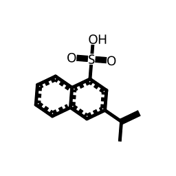 C=C(C)c1cc(S(=O)(=O)O)c2ccccc2c1